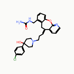 NC(=O)NCc1cccc2c1CC(=CCCN1CCC(O)(c3ccc(Cl)cc3)CC1)c1cccnc1O2